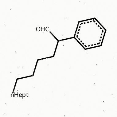 CCCCCCCCCCCC([C]=O)c1ccccc1